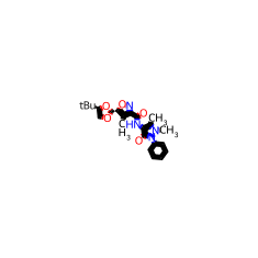 Cc1c(C(=O)Nc2c(C)n(C)n(C3CCCCC3)c2=O)noc1[C@@H]1OC[C@@H](C(C)(C)C)O1